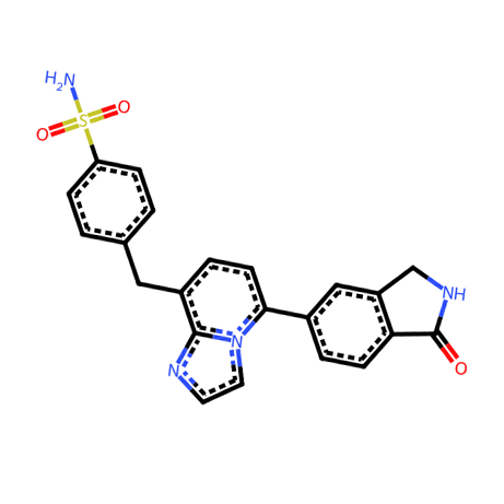 NS(=O)(=O)c1ccc(Cc2ccc(-c3ccc4c(c3)CNC4=O)n3ccnc23)cc1